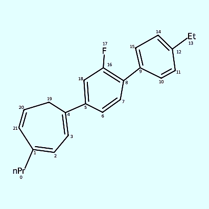 CCCC1=CC=C(c2ccc(-c3ccc(CC)cc3)c(F)c2)CC=C1